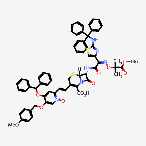 COc1ccc(COc2c[n+]([O-])c(C=CC3=C(C(=O)O)N4C(=O)[C@@H](NC(=O)/C(=N\OC(C)(C)C(=O)OC(C)(C)C)c5csc(NC(c6ccccc6)(c6ccccc6)c6ccccc6)n5)[C@H]4SC3)cc2OC(c2ccccc2)c2ccccc2)cc1